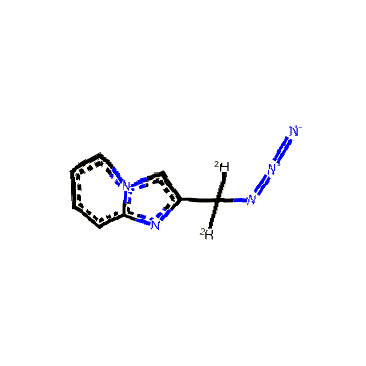 [2H]C([2H])(N=[N+]=[N-])c1cn2ccccc2n1